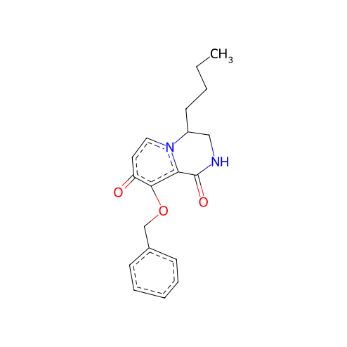 CCCCC1CNC(=O)c2c(OCc3ccccc3)c(=O)ccn21